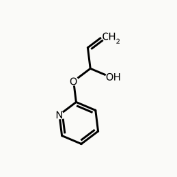 C=CC(O)Oc1ccccn1